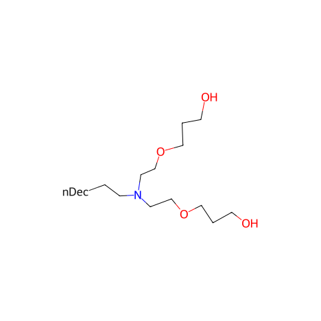 CCCCCCCCCCCCN(CCOCCCO)CCOCCCO